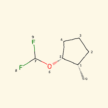 C[C@H]1CCC[C@H]1OC(F)F